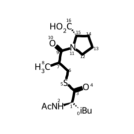 CC[C@@H](C)[C@@H](NC(C)=O)C(=O)SCC(C)C(=O)N1CCC[C@H]1C(=O)O